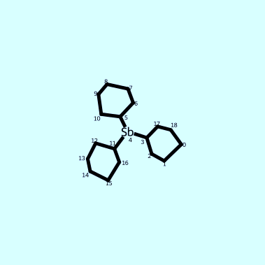 C1CC[CH]([Sb]([CH]2CCCCC2)[CH]2CCCCC2)CC1